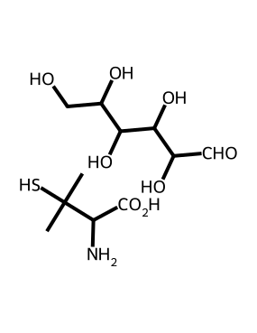 CC(C)(S)C(N)C(=O)O.O=CC(O)C(O)C(O)C(O)CO